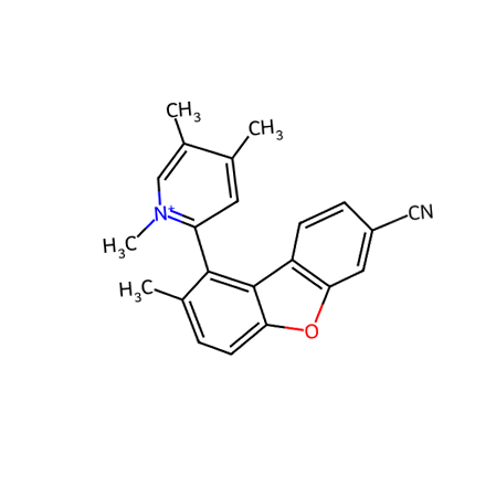 Cc1cc(-c2c(C)ccc3oc4cc(C#N)ccc4c23)[n+](C)cc1C